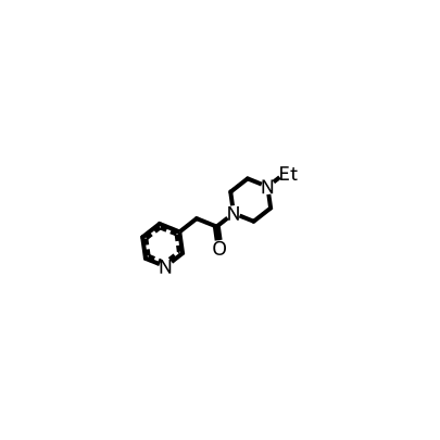 CCN1CCN(C(=O)Cc2cccnc2)CC1